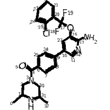 CC1CN(C(=O)c2ccc(-c3cnc(N)c(OC(F)(F)c4ccccc4Cl)c3)cc2)CC(C)N1